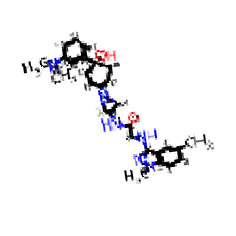 Cc1ccc2c(c1)c(NCC(=O)NC1CN(C3CCC(O)(c4cccc(N(C)C)c4)CC3)C1)nn2C